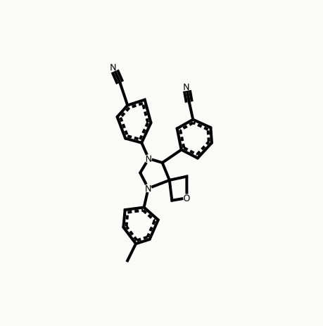 Cc1ccc(N2CN(c3ccc(C#N)cc3)C(c3cccc(C#N)c3)C23COC3)cc1